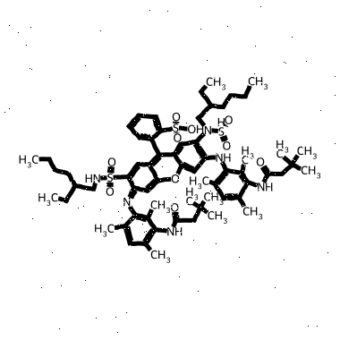 CCCCC(CC)CNS(=O)(=O)c1cc2c(-c3ccccc3S(=O)(=O)O)c3cc(N(CC(CC)CCCC)[SH](=O)=O)c(Nc4c(C)cc(C)c(NC(=O)CC(C)(C)C)c4C)cc3oc-2c/c1=N\c1c(C)cc(C)c(NC(=O)CC(C)(C)C)c1C